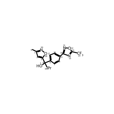 Cc1cc(C(O)(c2ccc(-c3noc(C(F)(F)F)n3)cc2)C(C)C)on1